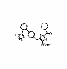 CCCCCc1nc(C(=O)C2CCCCC2)nn1Cc1ccc(-c2ccccc2-c2nnn[nH]2)cc1